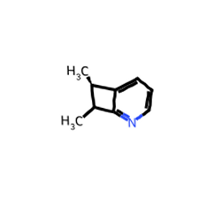 CC1c2ncccc2[C@@H]1C